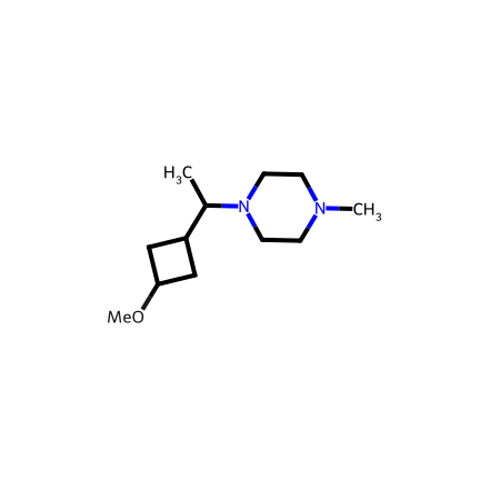 COC1CC(C(C)N2CCN(C)CC2)C1